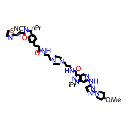 CCCC(c1ccc(CCC(=O)NCCCN2CCN(CCCNC(=O)c3nn(C(C)C)c4cc(Nc5ccnc(N6CCC(OC)CC6)n5)ncc34)CC2)cc1)N(C)C(=O)/C(C#N)=C/c1nccs1